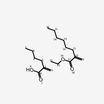 C=C(CCCC)C(=O)O.C=C(CCCCCC)C(=O)OCC